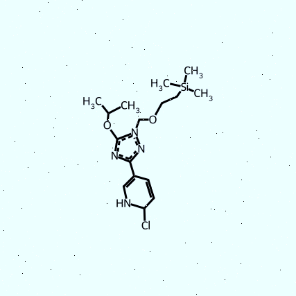 CC(C)Oc1nc(C2=CNC(Cl)C=C2)nn1COCC[Si](C)(C)C